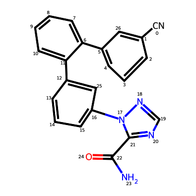 N#Cc1cccc(-c2ccccc2-c2cccc(-n3ncnc3C(N)=O)c2)c1